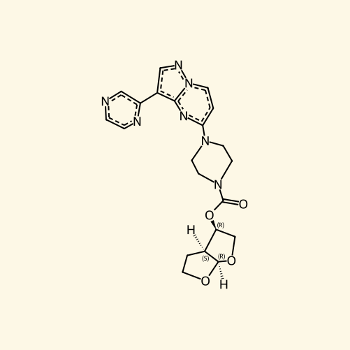 O=C(O[C@H]1CO[C@H]2OCC[C@H]21)N1CCN(c2ccn3ncc(-c4cnccn4)c3n2)CC1